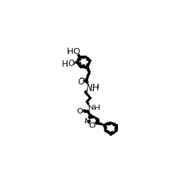 O=C(Cc1ccc(O)c(O)c1)NCCCNC(=O)c1cc(-c2ccccc2)on1